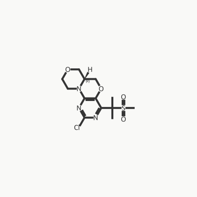 CC(C)(c1nc(Cl)nc2c1OC[C@H]1COCCN21)S(C)(=O)=O